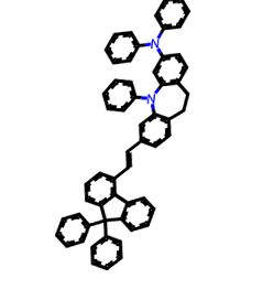 C(=C\c1cccc2c1-c1ccccc1C2(c1ccccc1)c1ccccc1)/c1ccc2c(c1)N(c1ccccc1)c1cc(N(c3ccccc3)c3ccccc3)ccc1CC2